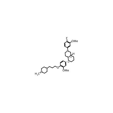 COc1cc(N2CCN3[C@@H](CCC[C@@H]3c3ccc(OCCCN4CCN(C)CC4)c(OC)c3)C2)ccc1F